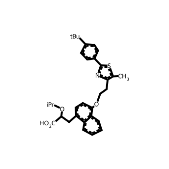 Cc1sc(-c2ccc(C(C)(C)C)cc2)nc1CCOc1ccc(CC(OC(C)C)C(=O)O)c2ccccc12